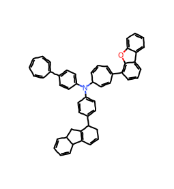 C1=CC=CC=CC=1c1ccc(N(c2ccc(C3CC=CC4=C3CC3C=CC=CC43)cc2)C2C=CC=C(c3cccc4c3oc3ccccc34)C=C2)cc1